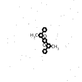 Cc1cc(-c2ccccc2)c2oc3cc4c(cc3c2c1)oc1c(-c2ccccc2)cc(C)cc14